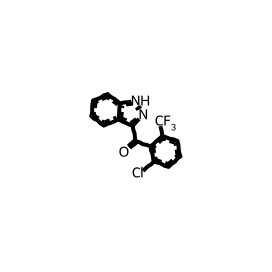 O=C(c1c(Cl)cccc1C(F)(F)F)c1n[nH]c2ccccc12